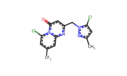 Cc1cc(Cl)n(Cc2cc(=O)n3c(Cl)cc(C(F)(F)F)cc3n2)n1